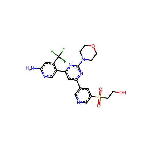 Nc1cc(C(F)(F)F)c(-c2cc(-c3cncc(S(=O)(=O)CCO)c3)nc(N3CCOCC3)n2)cn1